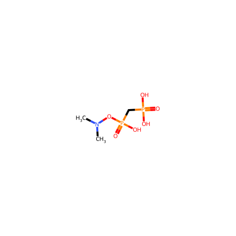 CN(C)OP(=O)(O)CP(=O)(O)O